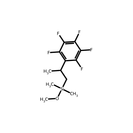 CO[Si](C)(C)CC(C)c1c(F)c(F)c(F)c(F)c1F